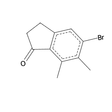 Cc1c(Br)cc2c(c1C)C(=O)CC2